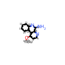 CCCCOc1ccnc2c(N)nc3ccccc3c12